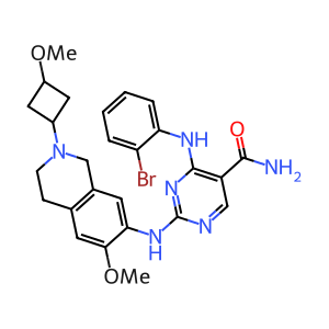 COc1cc2c(cc1Nc1ncc(C(N)=O)c(Nc3ccccc3Br)n1)CN(C1CC(OC)C1)CC2